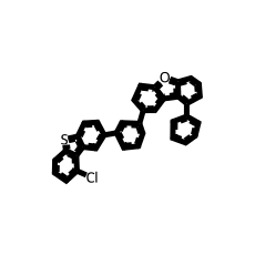 Clc1cccc2sc3ccc(-c4cccc(-c5ccc6oc7cccc(-c8ccccc8)c7c6c5)c4)cc3c12